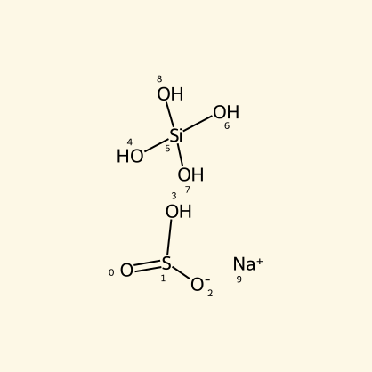 O=S([O-])O.O[Si](O)(O)O.[Na+]